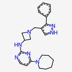 c1ccc(-c2n[nH]cc2CN2CC(Nc3nccc(N4CCCCCC4)n3)C2)cc1